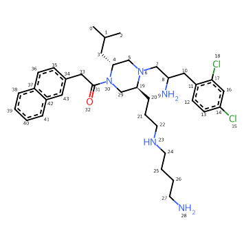 CC(C)C[C@@H]1CN(CC(N)Cc2ccc(Cl)cc2Cl)[C@@H](CCCNCCCCN)CN1C(=O)Cc1ccc2ccccc2c1